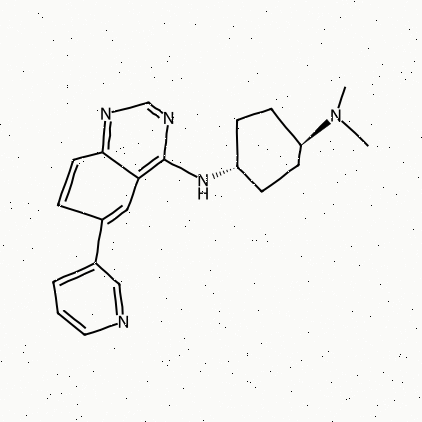 CN(C)[C@H]1CC[C@H](Nc2ncnc3ccc(-c4cccnc4)cc23)CC1